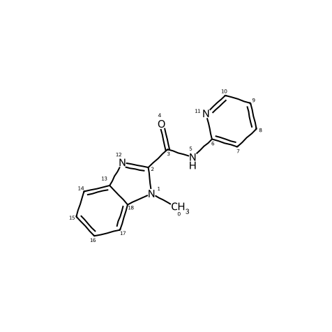 Cn1c(C(=O)Nc2ccccn2)nc2ccccc21